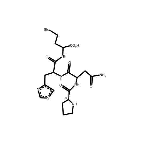 CC(C)(C)CCC(NC(=O)C(Cc1cscn1)NC(=O)C(CC(N)=O)NC(=O)[C@@H]1CCCN1)C(=O)O